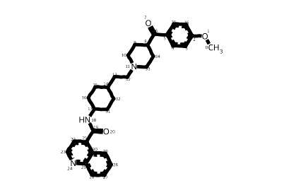 COc1ccc(C(=O)C2CCN(CCC3CCC(NC(=O)c4ccnc5ccccc45)CC3)CC2)cc1